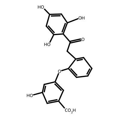 O=C(O)c1cc(O)cc(Oc2ccccc2CC(=O)c2c(O)cc(O)cc2O)c1